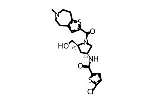 CN1CCc2cc(C(=O)N3C[C@H](NC(=O)c4ccc(Cl)s4)C[C@H]3CO)sc2CC1